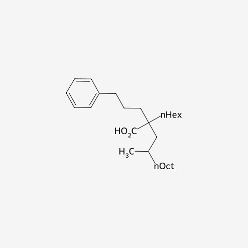 CCCCCCCCC(C)CC(CCCCCC)(CCCc1ccccc1)C(=O)O